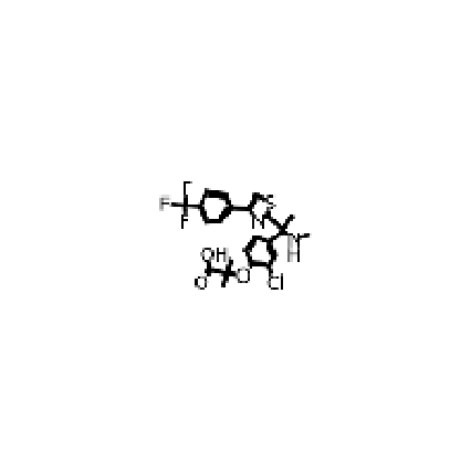 CNC(C)(c1ccc(OC(C)(C)C(=O)O)c(Cl)c1)c1nc(-c2ccc(C(F)(F)F)cc2)cs1